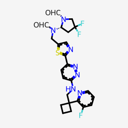 O=CN(Cc1cnc(-c2ccc(NCC3(c4ncccc4F)CCC3)nn2)s1)[C@H]1CC(F)(F)CN1C=O